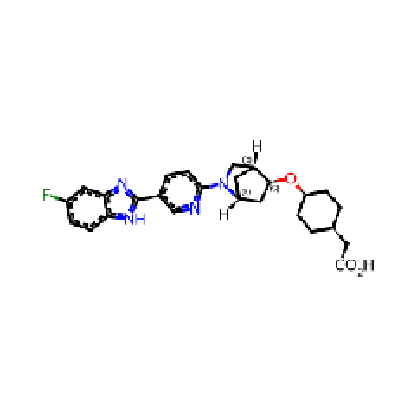 O=C(O)C[C@H]1CC[C@@H](O[C@H]2C[C@H]3C[C@@H]2CN3c2ccc(-c3nc4cc(F)ccc4[nH]3)cn2)CC1